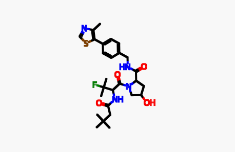 Cc1ncsc1-c1ccc(CNC(=O)C2CC(O)CN2C(=O)C(NC(=O)CC(C)(C)C)C(C)(C)F)cc1